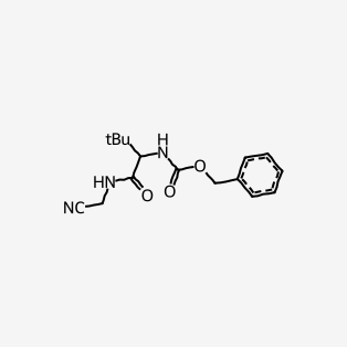 CC(C)(C)C(NC(=O)OCc1ccccc1)C(=O)NCC#N